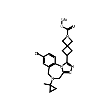 CC(C)(C)OC(=O)N1CC2(CC(c3nnc4n3-c3ccc(Cl)cc3CN(C3(C)CC3)C4)C2)C1